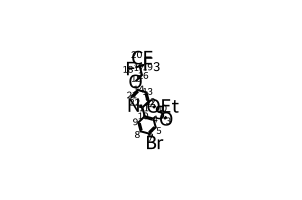 CCS(=O)(=O)c1cc(Br)ccc1-c1ccc(OCC(F)(F)C(F)(F)F)cn1